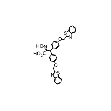 O=C(O)C(=NO)C(c1ccc(OCc2nc3ccccc3s2)cc1)c1ccc(OCc2nc3ccccc3s2)cc1